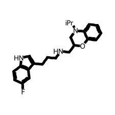 CC(C)N1CC(CNCCCc2c[nH]c3ccc(F)cc23)Oc2ccccc21